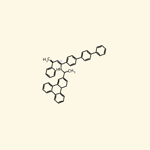 C=C(/C=C(\NC(C)C1=CCC2C(=C1)c1ccccc1-c1ccccc12)c1ccc(-c2ccc(-c3ccccc3)cc2)cc1)c1ccccc1